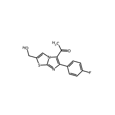 CC(=O)c1c(-c2ccc(F)cc2)nc2sc(CO)cn12